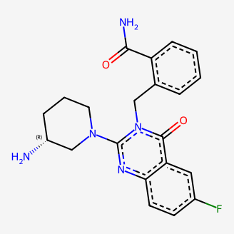 NC(=O)c1ccccc1Cn1c(N2CCC[C@@H](N)C2)nc2ccc(F)cc2c1=O